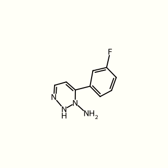 NN1NN=CC=C1c1cccc(F)c1